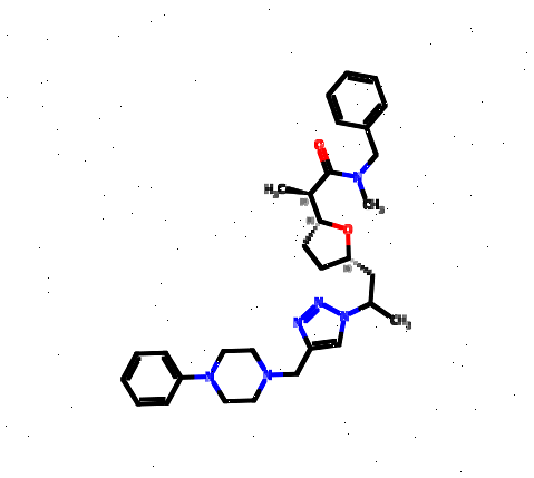 CC(C[C@@H]1CC[C@H]([C@@H](C)C(=O)N(C)Cc2ccccc2)O1)n1cc(CN2CCN(c3ccccc3)CC2)nn1